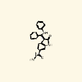 CCCNC(=O)c1ccc2c(c1)NC(=O)/C2=C(\Nc1ccccc1)c1ccccc1